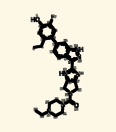 CCc1cc(O)c(F)cc1-c1ccc2c(-c3nc4c([nH]3)CN(C(=O)N3CCN(CC)CC3)C4)n[nH]c2c1